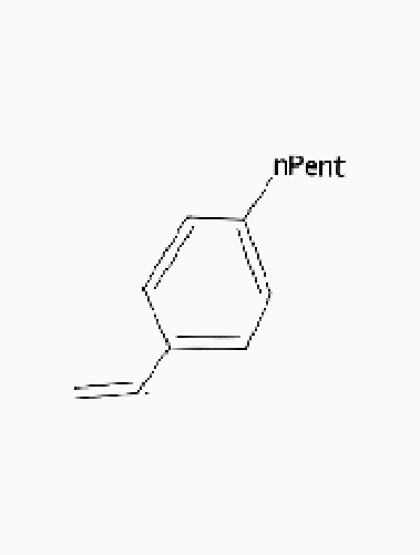 C=[C]c1ccc(CCCCC)cc1